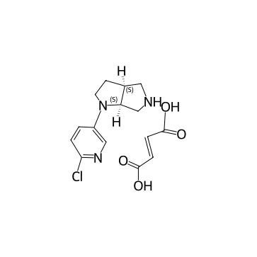 Clc1ccc(N2CC[C@H]3CNC[C@H]32)cn1.O=C(O)C=CC(=O)O